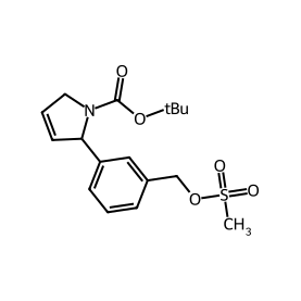 CC(C)(C)OC(=O)N1CC=CC1c1cccc(COS(C)(=O)=O)c1